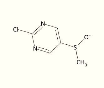 C[S+]([O-])c1cnc(Cl)nc1